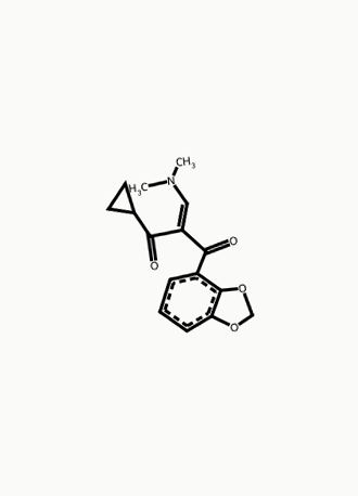 CN(C)/C=C(/C(=O)c1cccc2c1OCO2)C(=O)C1CC1